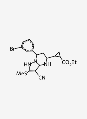 CCOC(=O)C1CC1C1CC(c2cccc(Br)c2)N2NC(SC)=C(C#N)C2N1